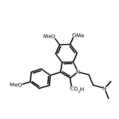 COc1ccc(-c2c(C(=O)O)n(CCN(C)C)c3cc(OC)c(OC)cc23)cc1